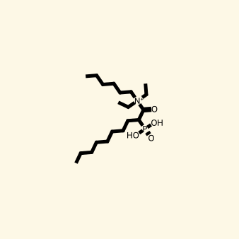 CCCCCCCCC(C(=O)[N+](CC)(CC)CCCCCC)P(=O)(O)O